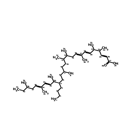 CCCCC(CCC(O)CCC(C)C(O)C/C=C(C)/C=C/C(O)C(C)/C=C/C(=O)O)C(O)/C=C/C(C)=C/CC(O)CC